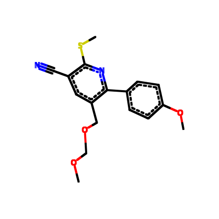 COCOCc1cc(C#N)c(SC)nc1-c1ccc(OC)cc1